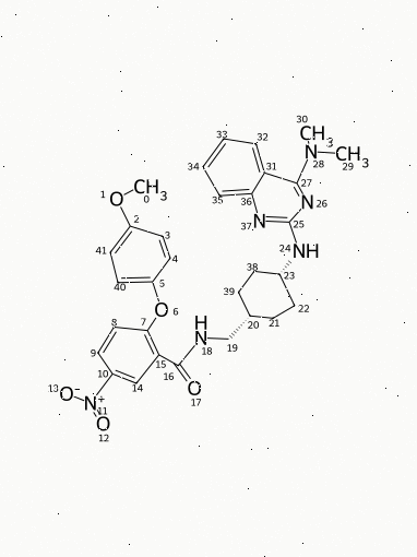 COc1ccc(Oc2ccc([N+](=O)[O-])cc2C(=O)NC[C@H]2CC[C@@H](Nc3nc(N(C)C)c4ccccc4n3)CC2)cc1